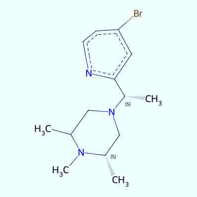 CC1CN([C@@H](C)c2cc(Br)ccn2)C[C@H](C)N1C